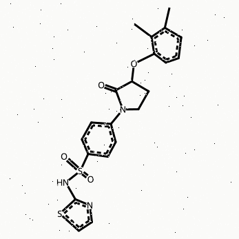 Cc1cccc(OC2CCN(c3ccc(S(=O)(=O)Nc4nccs4)cc3)C2=O)c1C